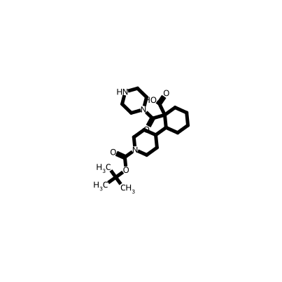 CC(C)(C)OC(=O)N1CCC(C2CCCCC2(C(=O)O)C(=O)N2CCNCC2)CC1